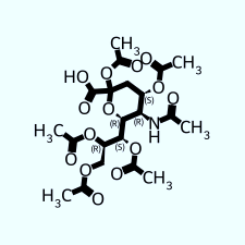 CC(=O)N[C@H]1[C@H]([C@H](OC(C)=O)[C@@H](COC(C)=O)OC(C)=O)OC(OC(C)=O)(C(=O)O)C[C@@H]1OC(C)=O